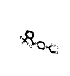 NC(C=O)N1CCN(C(=O)c2ccccc2C(F)(F)F)CC1